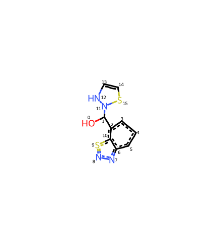 OC(c1cccc2nnsc12)N1NC=CS1